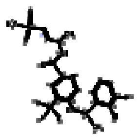 C[C@H](/C=C/S(C)(=O)=O)NC(=O)c1ncc(N[C@H](C)c2cccc(F)c2Cl)c(C(F)(F)F)n1